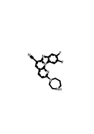 N#Cc1cc2ccc(N3CCCNCC3)nc2n2c1nc1cc(F)c(F)cc12